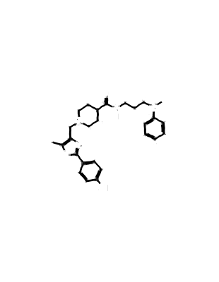 Cc1oc(-c2ccc(Cl)cc2)nc1CN1CCC(C(=O)NCCCN(C)c2ccccc2)CC1